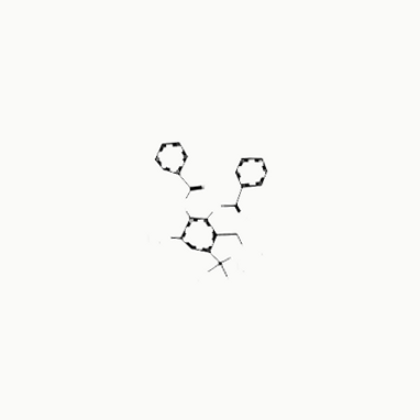 CCc1c(C(C)(C)C)cc(C)c(OC(=O)c2ccccc2)c1OC(=O)c1ccccc1